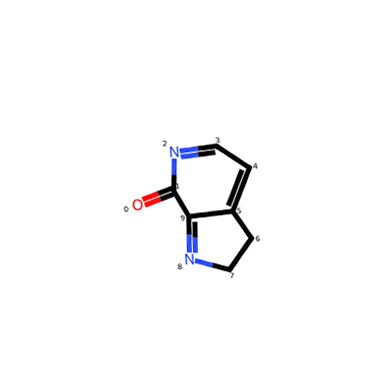 O=C1N=CC=C2CCN=C12